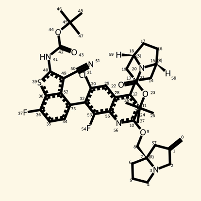 C=C1CN2CCC[C@]2(COc2nc(N3C[C@H]4CC[C@@H](C3)N4C(=O)OC(C)(C)C)c3cc(Cl)c(-c4ccc(F)c5sc(NC(=O)OC(C)(C)C)c(C#N)c45)c(F)c3n2)C1